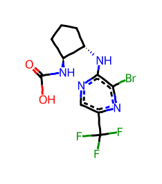 O=C(O)N[C@H]1CCC[C@@H]1Nc1ncc(C(F)(F)F)nc1Br